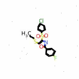 CCCSc1oc(-c2ccc(F)cc2)nc1S(=O)(=O)c1ccc(Cl)cc1